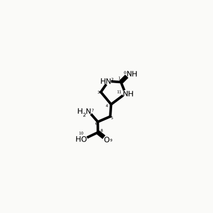 N=C1NCC(CC(N)C(=O)O)N1